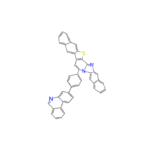 c1ccc2cc3c(cc2c1)nc1c2sc4cc5ccccc5cc4c2cc(-c2ccc(-c4ccc5c(c4)ncc4ccccc45)cc2)n31